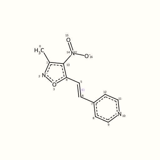 Cc1noc(/C=C/c2ccncc2)c1[N+](=O)[O-]